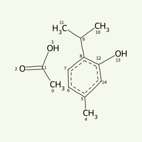 CC(=O)O.Cc1ccc(C(C)C)c(O)c1